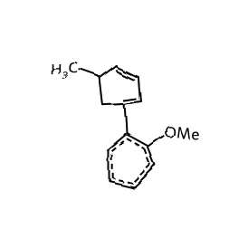 COc1ccccc1C1=CC=CC(C)C1